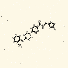 Cc1nnc(CNC(=O)c2ccc(N3CCC(Oc4ccccc4C(F)(F)F)CC3)nn2)o1